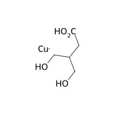 O=C(O)CC(CO)CO.[Cu]